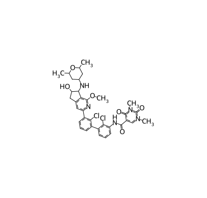 COc1nc(-c2cccc(-c3cccc(NC(=O)c4cn(C)c(=O)n(C)c4=O)c3Cl)c2Cl)cc2c1C(NC1CC(C)OC(C)C1)C(O)C2